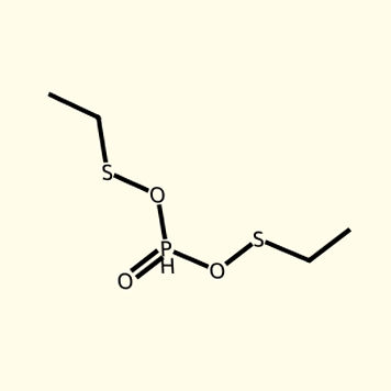 CCSO[PH](=O)OSCC